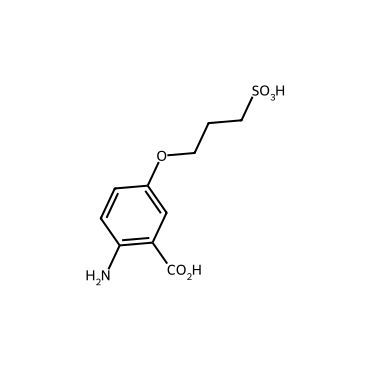 Nc1ccc(OCCCS(=O)(=O)O)cc1C(=O)O